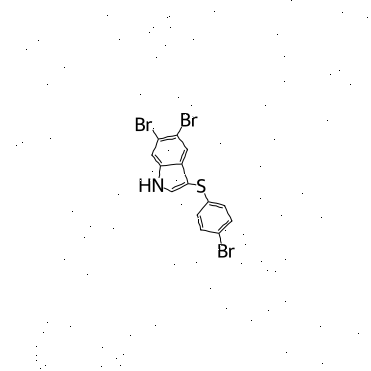 Brc1ccc(Sc2c[nH]c3cc(Br)c(Br)cc23)cc1